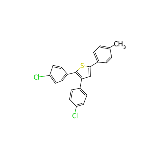 Cc1ccc(-c2cc(-c3ccc(Cl)cc3)c(-c3ccc(Cl)cc3)s2)cc1